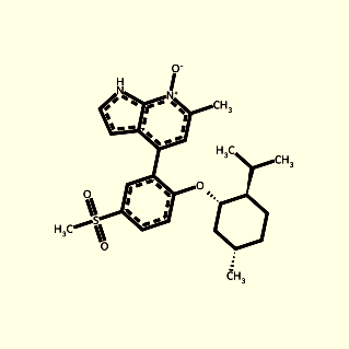 Cc1cc(-c2cc(S(C)(=O)=O)ccc2O[C@H]2C[C@@H](C)CC[C@@H]2C(C)C)c2cc[nH]c2[n+]1[O-]